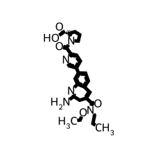 CCCN(OCC)C(=O)C1=Cc2ccc(-c3ccc(C(=O)N4CCC[C@@H]4C(=O)O)nc3)cc2N=C(N)C1